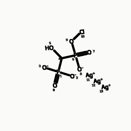 O=P([O-])([O-])C(O)P(=O)([O-])OCl.[Ag+].[Ag+].[Ag+]